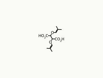 CC(C)=COC(C(=O)O)C(OC=C(C)C)C(=O)O